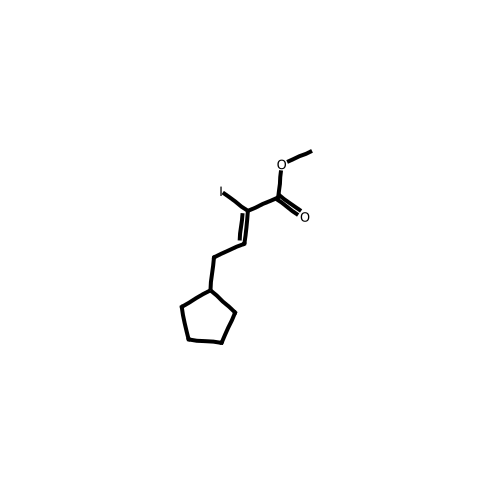 COC(=O)C(I)=CCC1CCCC1